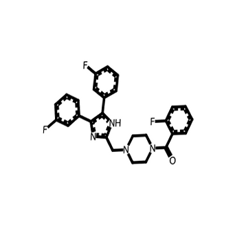 O=C(c1ccccc1F)N1CCN(Cc2nc(-c3cccc(F)c3)c(-c3cccc(F)c3)[nH]2)CC1